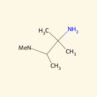 CNC(C)C(C)(C)N